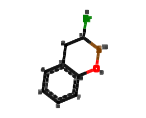 BrC1Cc2ccccc2OS1